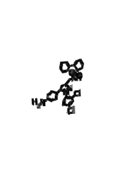 Nc1ccc(C2CC(CNS(=O)(=O)c3ccccc3-c3ccccc3)=NN2c2ccc(Cl)cc2Cl)cc1